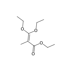 CCOC(=O)C(C)=C(OCC)OCC